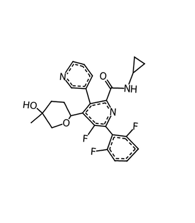 CC1(O)CCC(c2c(F)c(-c3c(F)cccc3F)nc(C(=O)NC3CC3)c2-c2cccnc2)OC1